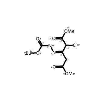 COC(=O)CC(=NNC(=O)OC(C)(C)C)C(Cl)C(=O)OC